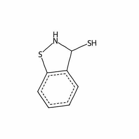 SC1NSc2ccccc21